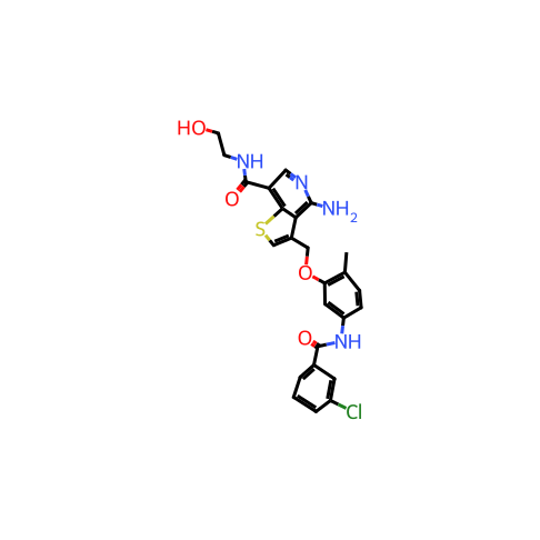 Cc1ccc(NC(=O)c2cccc(Cl)c2)cc1OCc1csc2c(C(=O)NCCO)cnc(N)c12